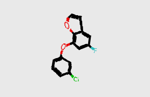 Fc1cc(Oc2cc[c]c(Cl)c2)c2occc2c1